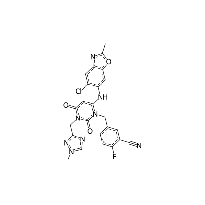 Cc1nc2cc(Cl)c(Nc3cc(=O)n(Cc4ncn(C)n4)c(=O)n3Cc3ccc(F)c(C#N)c3)cc2o1